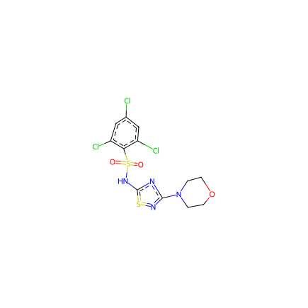 O=S(=O)(Nc1nc(N2CCOCC2)ns1)c1c(Cl)cc(Cl)cc1Cl